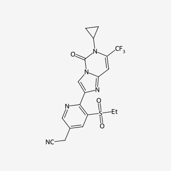 CCS(=O)(=O)c1cc(CC#N)cnc1-c1cn2c(=O)n(C3CC3)c(C(F)(F)F)cc2n1